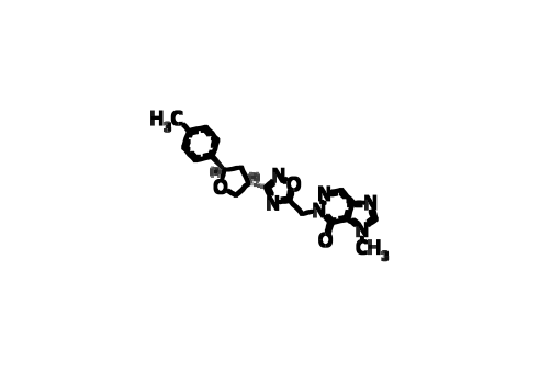 Cc1ccc([C@H]2C[C@H](c3noc(Cn4ncc5ncn(C)c5c4=O)n3)CO2)cc1